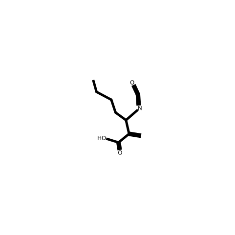 C=C(C(=O)O)C(CCCC)N=C=O